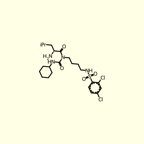 CC(C)C[C@H](N)C(=O)N(CCCCNS(=O)(=O)c1ccc(Cl)cc1Cl)C(=O)NC1CCCCC1